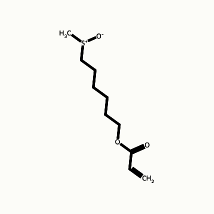 C=CC(=O)OCCCCCC[S+](C)[O-]